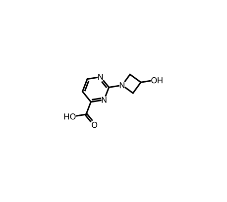 O=C(O)c1ccnc(N2CC(O)C2)n1